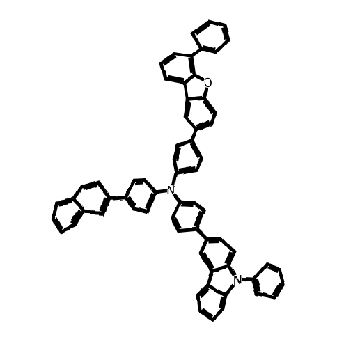 c1ccc(-c2cccc3c2oc2ccc(-c4ccc(N(c5ccc(-c6ccc7ccccc7c6)cc5)c5ccc(-c6ccc7c(c6)c6ccccc6n7-c6ccccc6)cc5)cc4)cc23)cc1